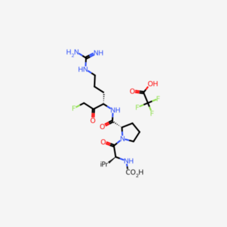 CC(C)[C@H](NC(=O)O)C(=O)N1CCC[C@H]1C(=O)N[C@@H](CCCNC(=N)N)C(=O)CF.O=C(O)C(F)(F)F